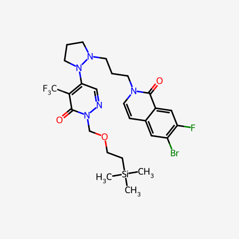 C[Si](C)(C)CCOCn1ncc(N2CCCN2CCCn2ccc3cc(Br)c(F)cc3c2=O)c(C(F)(F)F)c1=O